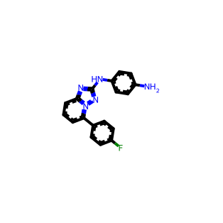 Nc1ccc(Nc2nc3cccc(-c4ccc(F)cc4)n3n2)cc1